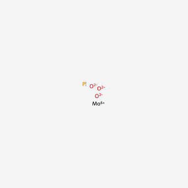 [Mo+6].[O-2].[O-2].[O-2].[P]